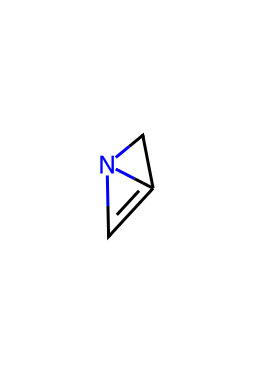 C1=C2CN12